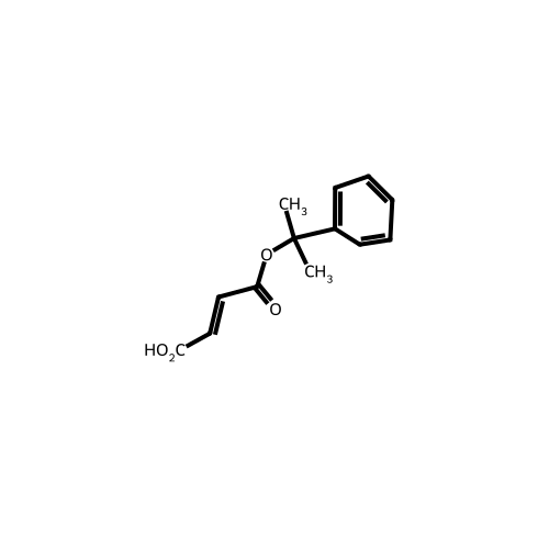 CC(C)(OC(=O)/C=C/C(=O)O)c1ccccc1